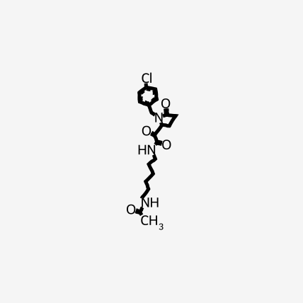 CC(=O)NCCCCCCNC(=O)C(=O)C1CCC(=O)N1Cc1ccc(Cl)cc1